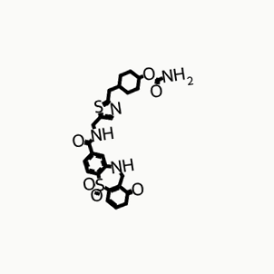 NC(=O)OC1CCC(Cc2ncc(CNC(=O)c3ccc4c(c3)NCC3=C(C=CCC3=O)S4(=O)=O)s2)CC1